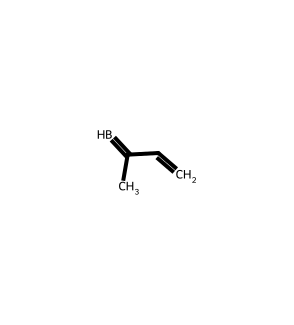 B=C(C)C=C